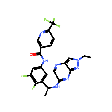 CCn1cc2ncc(N[C@@H](C)c3cc(NC(=O)c4ccc(C(F)(F)F)nc4)cc(F)c3F)nc2n1